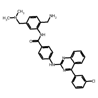 CN(C)Cc1ccc(CN)c(NC(=O)c2ccc(Nc3nc(-c4cccc(Cl)c4)c4ccccc4n3)cc2)c1